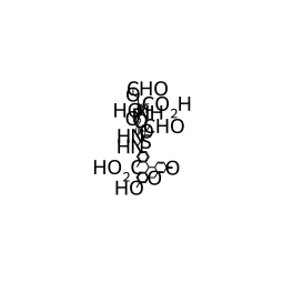 O=COCC[C@H](NP(=O)(O)OC[C@H](NC(=S)Nc1ccc(C2c3ccc(O)cc3OC3=CC(=O)C=CC32)c(C(=O)O)c1)OC=O)C(=O)O